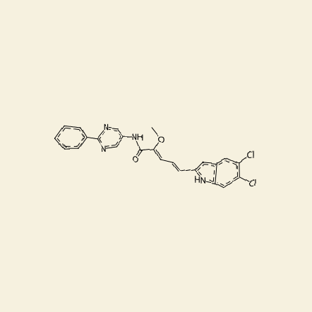 CO/C(=C\C=C\c1cc2cc(Cl)c(Cl)cc2[nH]1)C(=O)Nc1cnc(-c2ccccc2)nc1